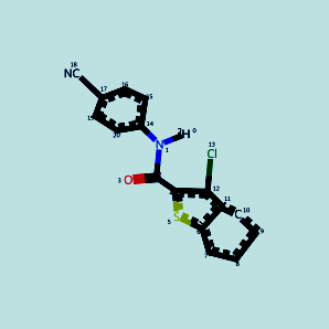 [2H]N(C(=O)c1sc2ccccc2c1Cl)c1ccc(C#N)cc1